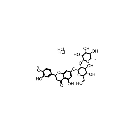 COc1ccc(C2CC(=O)c3c(O)cc(O[C@@H]4O[C@H](CO)[C@@H](O)[C@H](O)[C@H]4O[C@@H]4O[C@@H](C)[C@H](O)[C@@H](O)[C@H]4O)cc3O2)cc1O.Cl.Cl